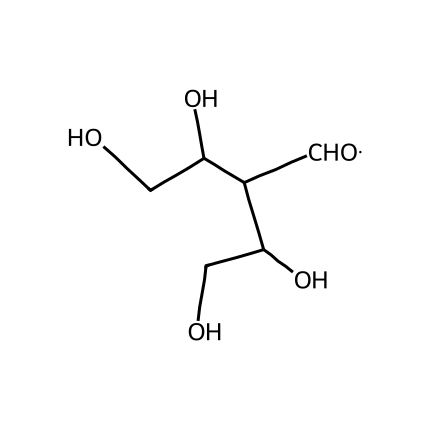 O=[C]C(C(O)CO)C(O)CO